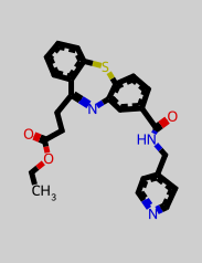 CCOC(=O)CCC1=Nc2cc(C(=O)NCc3ccncc3)ccc2Sc2ccccc21